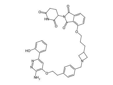 Nc1nnc(-c2ccccc2O)cc1OCCc1ccc(CN2CC(CCCOc3cccc4c3C(=O)N(C3CCC(=O)NC3=O)C4=O)C2)cc1